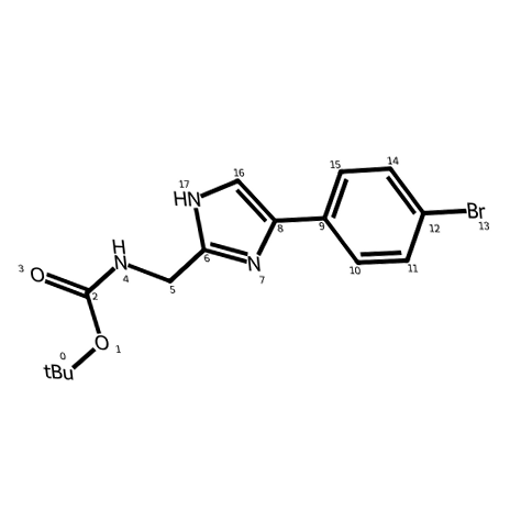 CC(C)(C)OC(=O)NCc1nc(-c2ccc(Br)cc2)c[nH]1